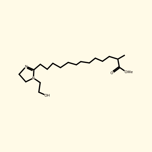 COC(=O)C(C)CCCCCCCCCCCC1=NCCN1CCO